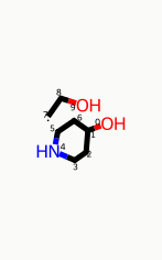 OC1CCNCC1.[CH2]CO